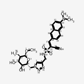 CO[C@H]1O[C@H](Cn2cc(CNS(=O)(=O)/C(C#N)=C/c3ccc4cc(N(C)C)ccc4c3)nn2)[C@@H](O)[C@H](O)[C@H]1C